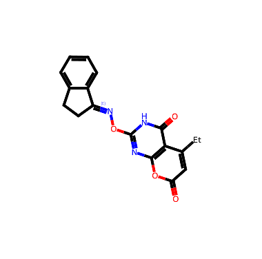 CCc1cc(=O)oc2nc(O/N=C3\CCc4ccccc43)[nH]c(=O)c12